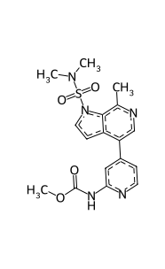 COC(=O)Nc1cc(-c2cnc(C)c3c2ccn3S(=O)(=O)N(C)C)ccn1